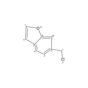 ClCc1ccc2ccoc2c1